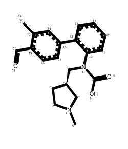 CN1CC[C@@H](CN(C(=O)O)c2ccccc2-c2ccc(C=O)c(F)c2)C1